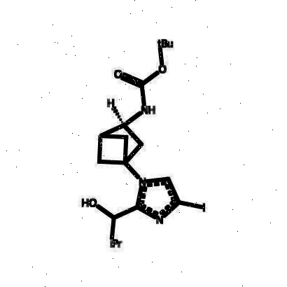 CC(C)C(O)c1nc(I)cn1C12CC(C1)[C@@H](NC(=O)OC(C)(C)C)C2